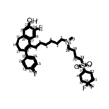 CN(CCCCCCC1=C(c2ccc(F)cc2)CCCc2cc(O)c(F)cc21)CCCCS(=O)(=O)C1CCC(F)(F)CC1